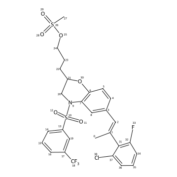 CC(=Cc1ccc2c(c1)N(S(=O)(=O)c1cccc(C(F)(F)F)c1)CC(CCCOS(C)(=O)=O)O2)c1c(F)cccc1Cl